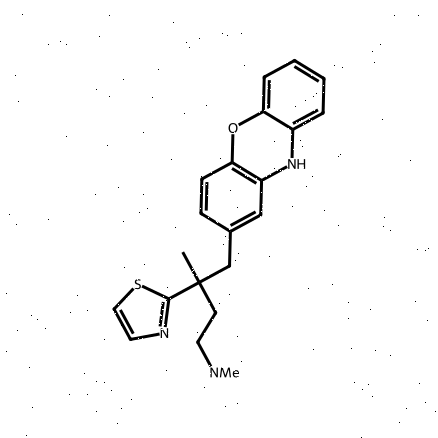 CNCCC(C)(Cc1ccc2c(c1)Nc1ccccc1O2)c1nccs1